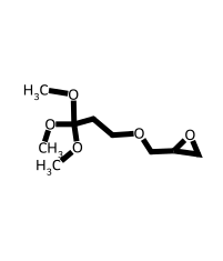 COC(CCOCC1CO1)(OC)OC